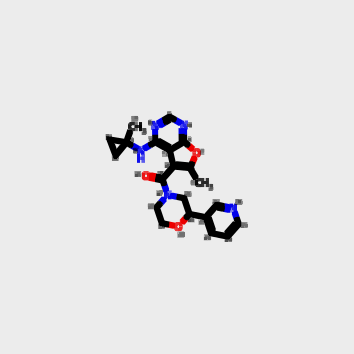 Cc1oc2ncnc(NC3(C)CC3)c2c1C(=O)N1CCOC(c2cccnc2)C1